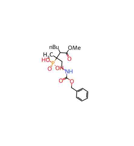 CCCCC(C(=O)OC)C(C)(CCNC(=O)OCc1ccccc1)P(=O)(O)O